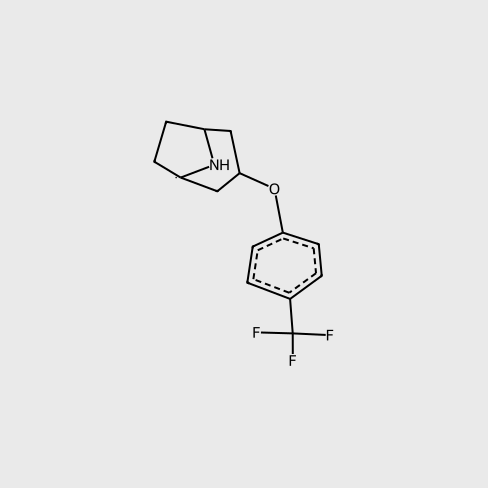 FC(F)(F)c1ccc(OC2C[C]3CCC(C2)N3)cc1